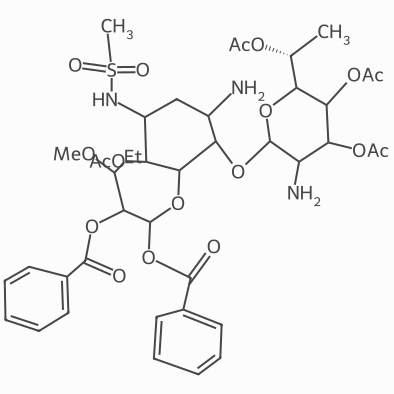 CCC(OC)C(OC(=O)c1ccccc1)C(OC(=O)c1ccccc1)OC1C(OC2OC([C@@H](C)OC(C)=O)C(OC(C)=O)C(OC(C)=O)C2N)C(N)CC(NS(C)(=O)=O)C1OC(C)=O